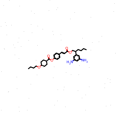 CCCCOC1CCC(C(=O)Oc2ccc(/C=C/C(=O)OCC(CCCC)c3cc(N)cc(N)c3)cc2)CC1